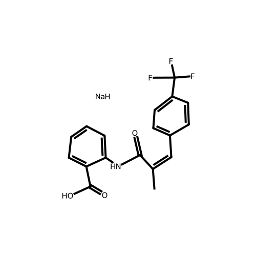 CC(=Cc1ccc(C(F)(F)F)cc1)C(=O)Nc1ccccc1C(=O)O.[NaH]